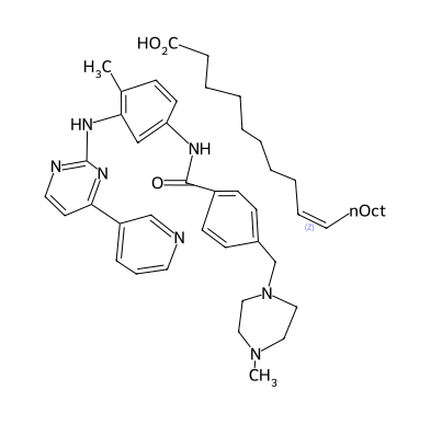 CCCCCCCC/C=C\CCCCCCCC(=O)O.Cc1ccc(NC(=O)c2ccc(CN3CCN(C)CC3)cc2)cc1Nc1nccc(-c2cccnc2)n1